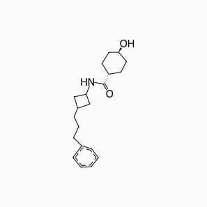 O=C(NC1CC(CCCc2ccccc2)C1)[C@H]1CC[C@H](O)CC1